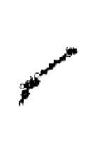 C=C(C)C(=O)OCCCCCCCCCCCCOc1ccc2cc(-c3ccc(C#N)cc3)c(=O)oc2n1